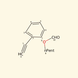 C#Cc1ccccc1.CCCCCOC=O